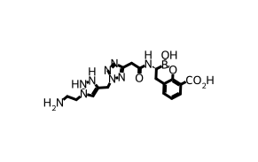 NCCN1C=C(Cn2nnc(CC(=O)N[C@H]3Cc4cccc(C(=O)O)c4OB3O)n2)NN1